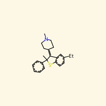 CCc1ccc2c(c1)C(=C1CCN(C)CC1)C(C)(c1ccccc1)S2